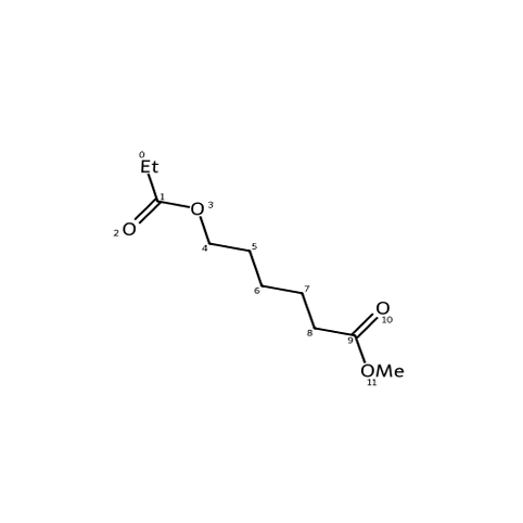 CCC(=O)OCCCCCC(=O)OC